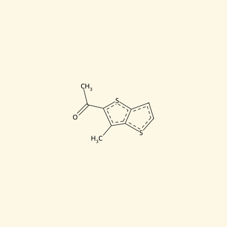 CC(=O)c1sc2ccsc2c1C